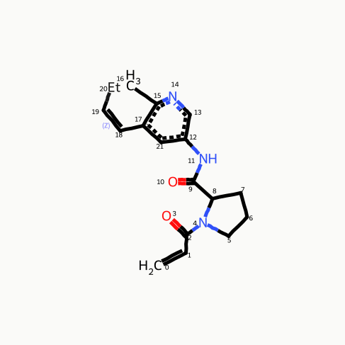 C=CC(=O)N1CCCC1C(=O)Nc1cnc(C)c(/C=C\CC)c1